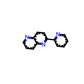 c1ccc(-c2ccc3ncccc3n2)nc1